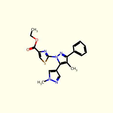 CCOC(=O)c1csc(-n2nc(-c3ccccc3)c(C)c2-c2cnn(C)c2)n1